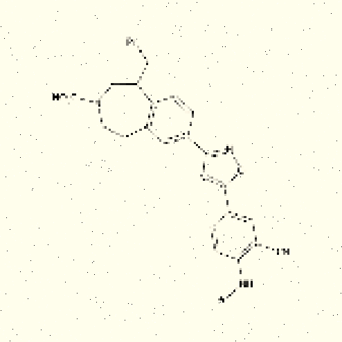 CC(C)CC1CN(C(=O)O)CCc2cc(-c3noc(-c4ccc(NC(C)C)c(C#N)c4)n3)ccc21